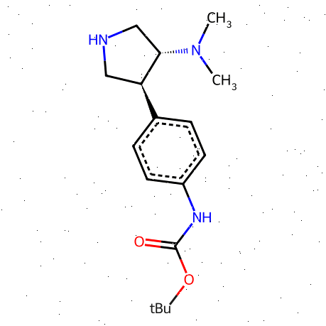 CN(C)[C@H]1CNC[C@@H]1c1ccc(NC(=O)OC(C)(C)C)cc1